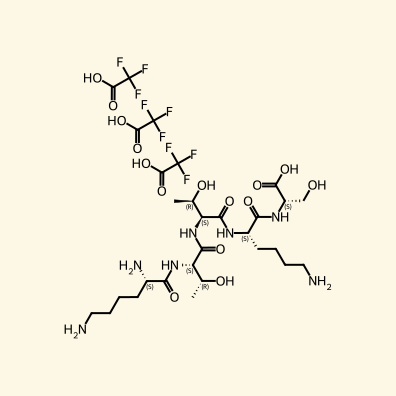 C[C@@H](O)[C@H](NC(=O)[C@@H](NC(=O)[C@@H](N)CCCCN)[C@@H](C)O)C(=O)N[C@@H](CCCCN)C(=O)N[C@@H](CO)C(=O)O.O=C(O)C(F)(F)F.O=C(O)C(F)(F)F.O=C(O)C(F)(F)F